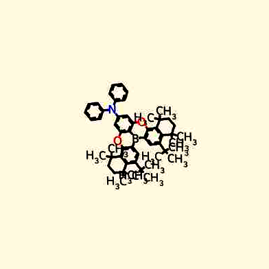 CC(C)(C)c1cc2c(c3c1C(C)(C)CCC3(C)C)Oc1cc(N(c3ccccc3)c3ccccc3)cc3c1B2c1cc(C(C)(C)C)c2c(c1O3)C(C)(C)CCC2(C)C